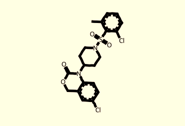 Cc1cccc(Cl)c1S(=O)(=O)N1CCC(N2C(=O)OCc3cc(Cl)ccc32)CC1